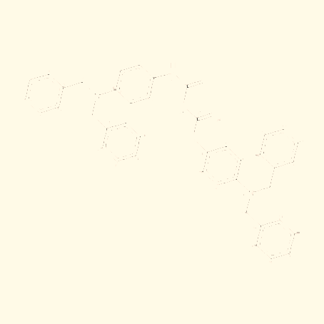 O=C(Bc1ccc(N(Cc2ccccc2)Cc2ccccc2)cc1)OC(=O)Bc1ccc(N(Cc2ccccc2)Cc2ccccc2)cc1